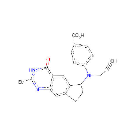 C#CCN(c1ccc(C(=O)O)cc1)C1CCc2cc3nc(CC)[nH]c(=O)c3cc21